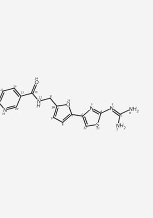 NC(N)=Nc1nc(-c2ccc(CNC(=O)c3cccnc3)o2)cs1